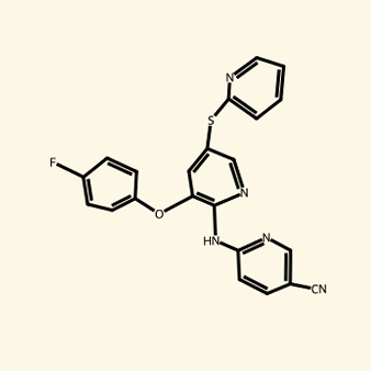 N#Cc1ccc(Nc2ncc(Sc3ccccn3)cc2Oc2ccc(F)cc2)nc1